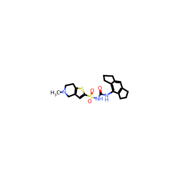 CN1CCc2sc(S(=O)(=O)NC(=O)Nc3c4c(cc5c3CCC5)CCC4)cc2C1